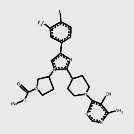 CC(C)(C)OC(=O)N1CCC(n2cc(-c3ccc(F)c(C(F)(F)F)c3)nc2C2CCN(c3ncnc(N)c3C#N)CC2)C1